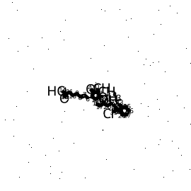 CC1(C)C(=O)[C@H](CC=CCCCC(=O)O)[C@@H](/C=C\C(O)CCc2sc3ccccc3c2Cl)[C@@H]1O